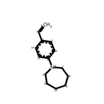 C=Cc1ccc(N2CCCCCC2)cc1